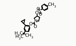 Cc1ccc(S(=O)(=O)OC2CCN(C(=O)Oc3ccc(C(C)(C)C)cc3C3CC3)C2)cc1